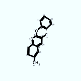 Cc1ccc2nc(Oc3ccccc3)c(Cl)cc2c1